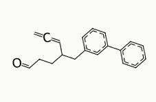 C=C=CC(CCC=O)Cc1cccc(-c2ccccc2)c1